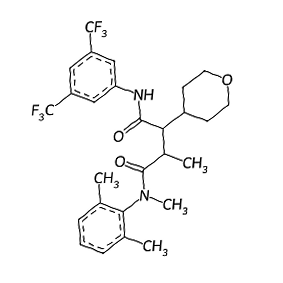 Cc1cccc(C)c1N(C)C(=O)C(C)C(C(=O)Nc1cc(C(F)(F)F)cc(C(F)(F)F)c1)C1CCOCC1